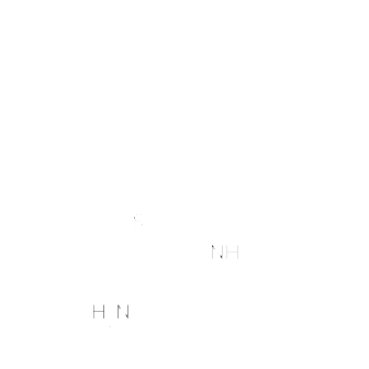 CC1CCC2=C(C1)SC(N)N2